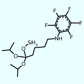 CC(C)OC(CCCCNc1c(F)c(F)c(F)c(F)c1F)(O[SiH3])OC(C)C